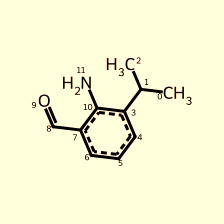 CC(C)c1cccc(C=O)c1N